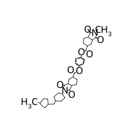 CC1CCC(CC2CCC(N3C(=O)C4CCC(C(=O)Oc5ccc(OC(=O)C6CCC7C(=O)N(C)C(=O)C7C6)cc5)CC4C3=O)CC2)CC1